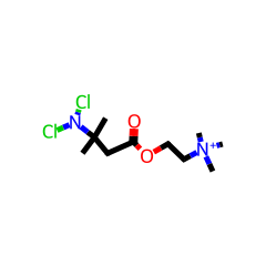 CC(C)(CC(=O)OCC[N+](C)(C)C)N(Cl)Cl